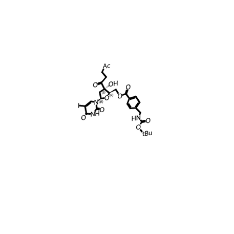 CC(=O)CCC(=O)[C@]1(O)C[C@H](n2cc(I)c(=O)[nH]c2=O)O[C@@H]1COC(=O)c1ccc(CNC(=O)OC(C)(C)C)cc1